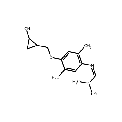 CCCN(C)/C=N\c1cc(C)c(OCC2CC2C)cc1C